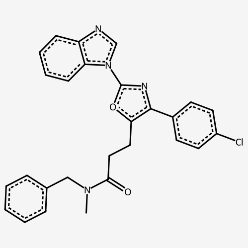 CN(Cc1ccccc1)C(=O)CCc1oc(-n2cnc3ccccc32)nc1-c1ccc(Cl)cc1